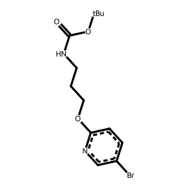 CC(C)(C)OC(=O)NCCCOc1ccc(Br)cn1